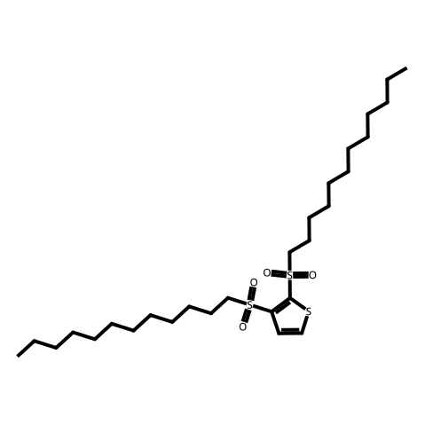 CCCCCCCCCCCCS(=O)(=O)c1ccsc1S(=O)(=O)CCCCCCCCCCCC